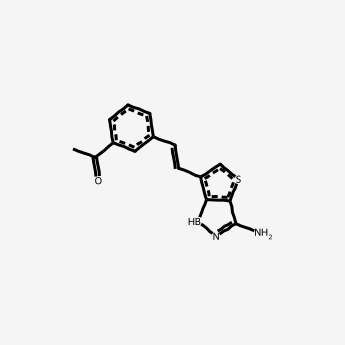 CC(=O)c1cccc(/C=C/c2csc3c2BN=C3N)c1